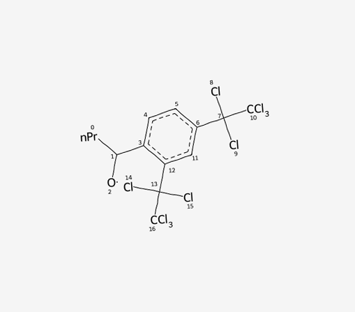 CCCC([O])c1ccc(C(Cl)(Cl)C(Cl)(Cl)Cl)cc1C(Cl)(Cl)C(Cl)(Cl)Cl